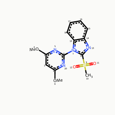 COc1cc(OC)nc(-n2c(S(C)(=O)=O)nc3ccccc32)n1